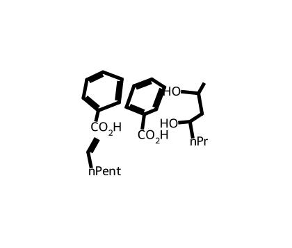 C=CCCCCC.CCCC(O)CC(C)O.O=C(O)c1ccccc1.O=C(O)c1ccccc1